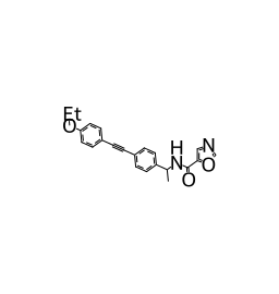 CCOc1ccc(C#Cc2ccc(C(C)NC(=O)c3cnco3)cc2)cc1